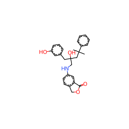 CC(C)(CC(O)(CNc1ccc2c(c1)C(=O)OC2)Cc1cccc(O)c1)c1ccccc1